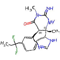 CN1C(=N)N[C@](C)(c2cnc[nH]2)[C@@H](c2cccc(C(C)(F)F)c2)C1=O